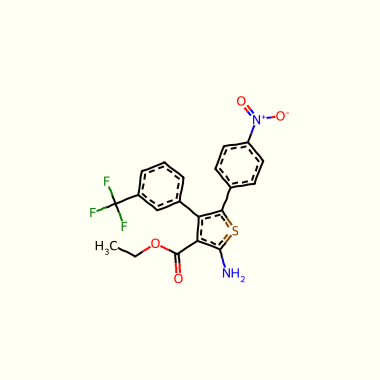 CCOC(=O)c1c(N)sc(-c2ccc([N+](=O)[O-])cc2)c1-c1cccc(C(F)(F)F)c1